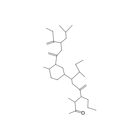 C=C(CC)C(CC(=C)C1CC(C(CC(=C)C(CCC)C(C)C(C)=O)C(C)CC)CCC1C)CC(C)C